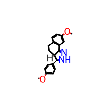 COc1ccc([C@@H]2NN=C3c4cc(OC)ccc4CC[C@@H]32)cc1